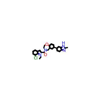 CCn1c(C(=O)N2CCOc3ccc(-c4ccc5nc(C)[nH]c5c4)cc3C2)cc2cccc(Cl)c21